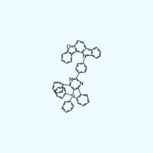 c1ccc(-c2nc(-c3ccc(-n4c5ccccc5c5ccc6oc7ccccc7c6c54)cc3)nc3c2[Si](c2ccccc2)(c2ccccc2)c2ccccc2-3)cc1